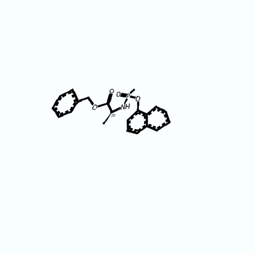 C[C@H](NP(C)(=O)Oc1cccc2ccccc12)C(=O)OCc1ccccc1